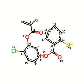 C=C(C)C(=O)Oc1ccccc1Cl.O=C(O)c1ccccc1S